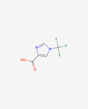 O=C(O)c1cn(C(F)(F)F)cn1